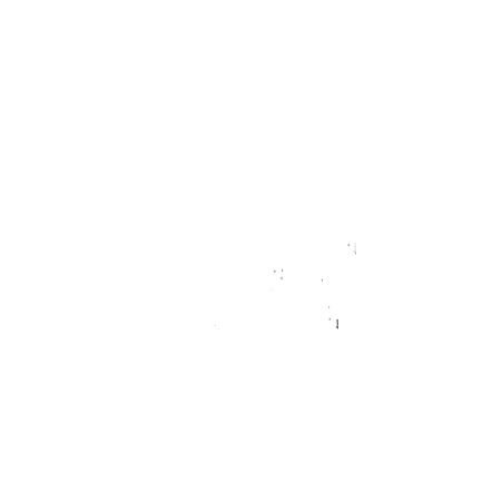 CCCCCn1c(C)cc(=O)n2cc(-c3ccc4occc4c3)nc12